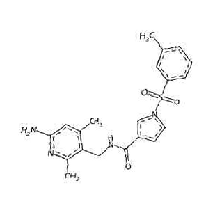 Cc1cccc(S(=O)(=O)n2ccc(C(=O)NCc3c(C)cc(N)nc3C)c2)c1